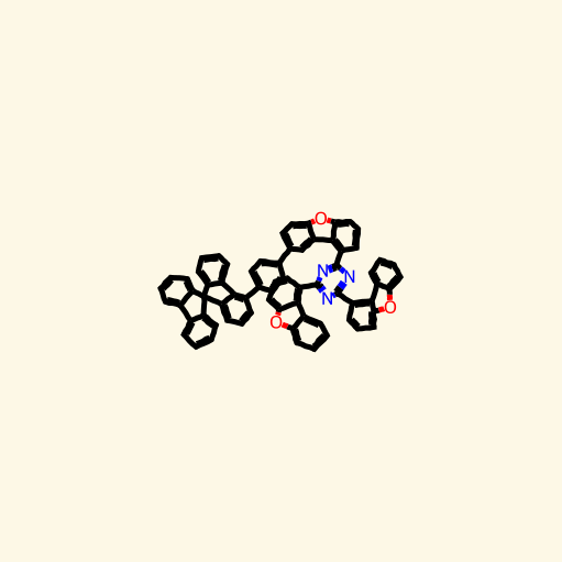 c1ccc2c(c1)-c1ccccc1C21c2ccccc2-c2c(-c3ccc(-c4ccc5oc6cccc(-c7nc(-c8cccc9oc%10ccccc%10c89)nc(-c8cccc9oc%10ccccc%10c89)n7)c6c5c4)cc3)cccc21